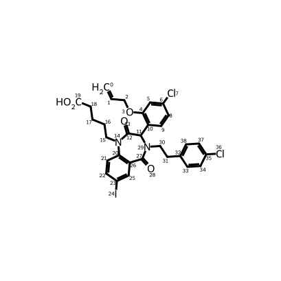 C=CCOc1cc(Cl)ccc1C1C(=O)N(CCCCC(=O)O)c2ccc(I)cc2C(=O)N1CCc1ccc(Cl)cc1